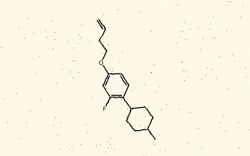 C=CCCOc1ccc(C2CCC(C)CC2)c(F)c1